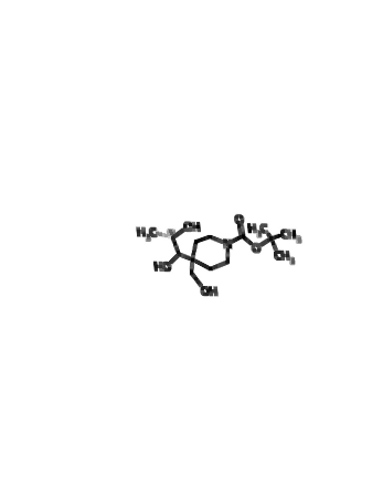 C[C@H](O)C(O)C1(CO)CCN(C(=O)OC(C)(C)C)CC1